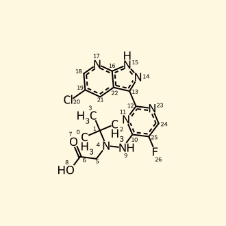 CC(C)(C)N(CC(=O)O)Nc1nc(-c2n[nH]c3ncc(Cl)cc23)ncc1F